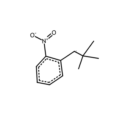 CC(C)(C)[CH]c1ccccc1[N+](=O)[O-]